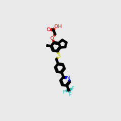 Cc1cc(SCc2ccc(-c3ccc(C(F)(F)F)cn3)cc2)c2c(c1OCC(=O)O)CCC2